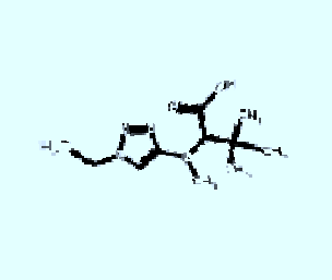 CCn1cc(N(C)C(C(=O)O)C(C)(C)C)nn1